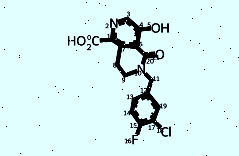 O=C(O)c1ncc(O)c2c1CCN(Cc1ccc(F)c(Cl)c1)C2=O